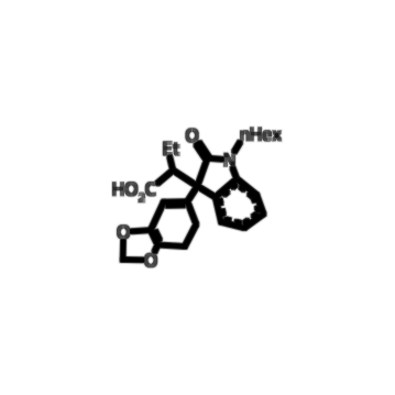 CCCCCCN1C(=O)C(C2=CC3=C(CC2)OCO3)(C(CC)C(=O)O)c2ccccc21